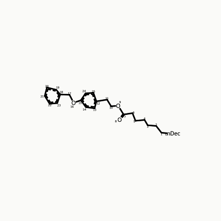 CCCCCCCCCCCCCCCCC(=O)OCCc1ccc(OCc2ccccc2)cc1